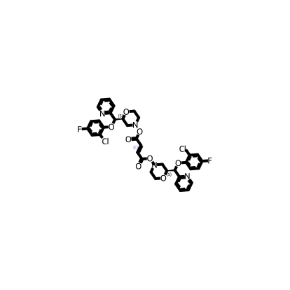 O=C(/C=C/C(=O)ON1CCO[C@H](C(Oc2ccc(F)cc2Cl)c2ccccn2)C1)ON1CCO[C@H](C(Oc2ccc(F)cc2Cl)c2ccccn2)C1